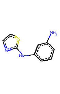 Nc1cccc(Nc2nccs2)c1